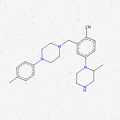 Cc1ccc(N2CCN(Cc3cc(N4CCNCC4C)ccc3C#N)CC2)cc1